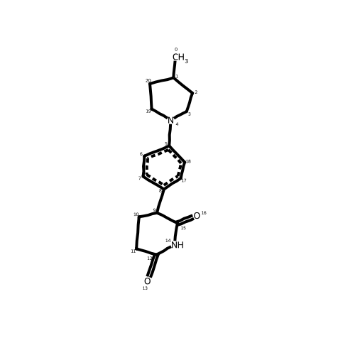 CC1CCN(c2ccc(C3CCC(=O)NC3=O)cc2)CC1